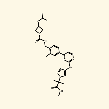 CNC(=O)C(C)(C)n1cc(Nc2nccc(-c3ccc(CNC(=O)N4CC(OC(C)C)C4)c(C)c3)n2)cn1